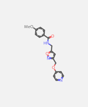 COc1ccc(C(=O)NCc2cc(COc3ccncc3)no2)cc1